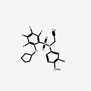 C#CCN(c1ccc(OC)c(F)c1)S(=O)(=O)c1c(F)c(F)c(F)c(F)c1OC1CCCC1